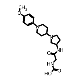 COc1ccc(N2CCC(N3CCC(NC(=O)CNC(=O)O)C3)CC2)cc1